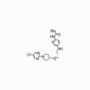 CC(C)(C)C(=O)Nc1ccc(NCC[C@@H]2CC2C2CCN(c3ncc(Cl)cn3)CC2)cn1